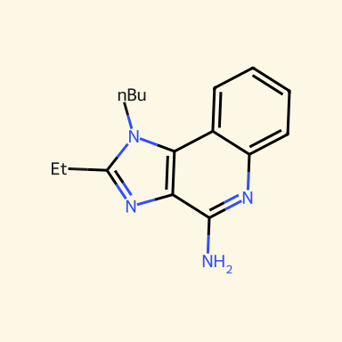 [CH2]CCCn1c(CC)nc2c(N)nc3ccccc3c21